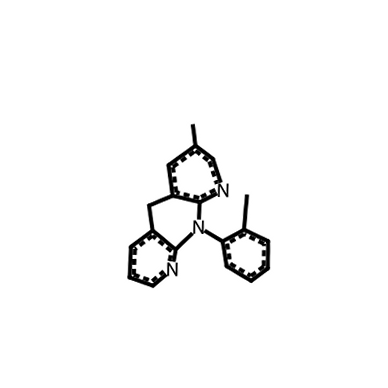 Cc1cnc2c(c1)Cc1cccnc1N2c1ccccc1C